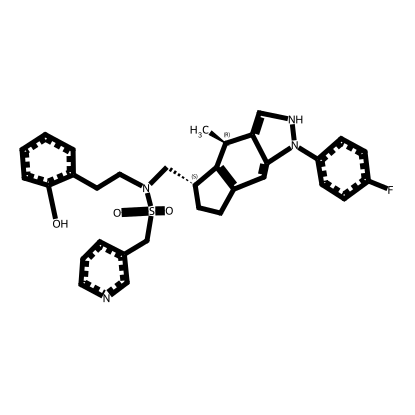 C[C@H]1C2=CNN(c3ccc(F)cc3)C2=CC2=C1[C@@H](CN(CCc1ccccc1O)S(=O)(=O)Cc1cccnc1)CC2